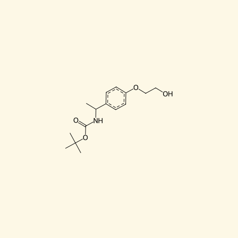 CC(NC(=O)OC(C)(C)C)c1ccc(OCCO)cc1